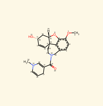 COc1ccc2c3c1O[C@H]1C[C@@H](O)C=C[C@@]31CCN(C(=O)C1=CN(C)C=CC1)C2